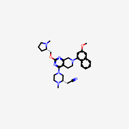 COc1cc(N2CCc3c(nc(OC[C@@H]4CCCN4C)nc3N3CCN(C)[C@@H](CC#N)C3)C2)c2ccccc2c1